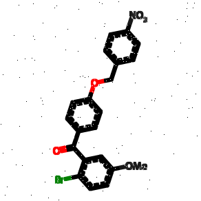 COc1ccc(Br)c(C(=O)c2ccc(OCc3ccc([N+](=O)[O-])cc3)cc2)c1